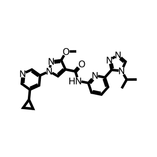 COc1nn(-c2cncc(C3CC3)c2)cc1C(=O)Nc1cccc(-c2nncn2C(C)C)n1